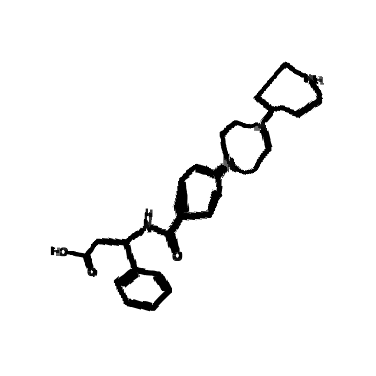 O=C(O)CC(NC(=O)c1ccc(N2CCN(C3CCNCC3)CC2)cc1)c1ccccc1